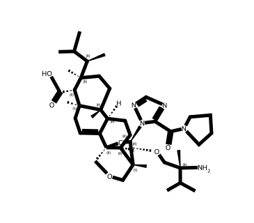 CC(C)[C@@H](C)[C@@]1(C)CC[C@]2(C)[C@H]3CC[C@@H]4[C@@]5(COC[C@@]4(C)[C@@H](OC[C@](C)(N)C(C)C)[C@H](n4ncnc4C(=O)N4CCCC4)C5)C3=CC[C@@]2(C)[C@@H]1C(=O)O